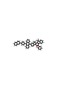 CC1(C)c2cc(-c3c4ccccc4c(-c4ccc(-c5ccc6ccccc6c5)cc4)c4ccccc34)ccc2-c2c1c1c(c3c2oc2ccccc23)-c2ccccc2C1(C)C